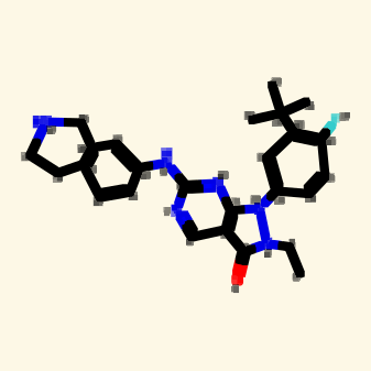 CCn1c(=O)c2cnc(Nc3ccc4c(c3)CNCC4)nc2n1-c1ccc(F)c(C(C)(C)C)c1